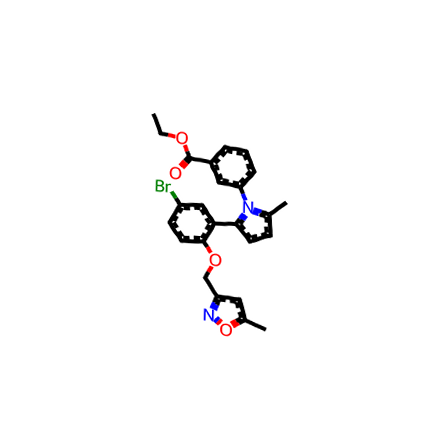 CCOC(=O)c1cccc(-n2c(C)ccc2-c2cc(Br)ccc2OCc2cc(C)on2)c1